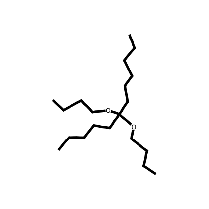 CCCCCCC(CCCCC)(OCCCC)OCCCC